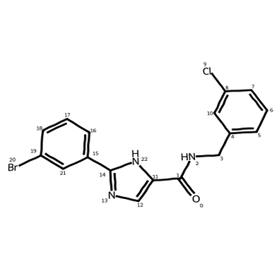 O=C(NCc1cccc(Cl)c1)c1cnc(-c2cccc(Br)c2)[nH]1